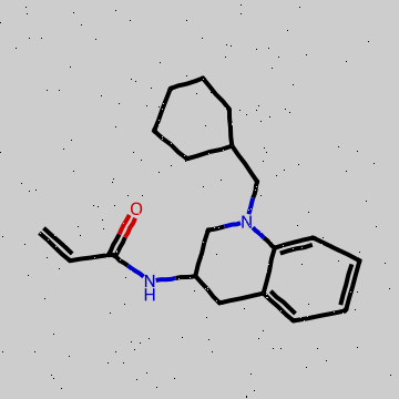 C=CC(=O)NC1Cc2ccccc2N(CC2CCCCC2)C1